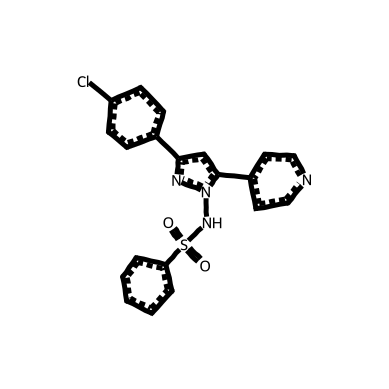 O=S(=O)(Nn1nc(-c2ccc(Cl)cc2)cc1-c1ccncc1)c1ccccc1